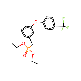 CCOP(=O)(Cc1cccc(Oc2ccc(C(F)(F)F)cc2)c1)OCC